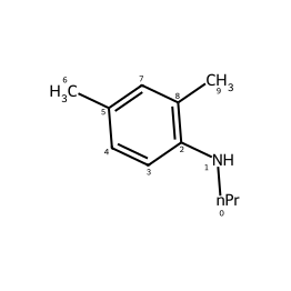 [CH2]CCNc1ccc(C)cc1C